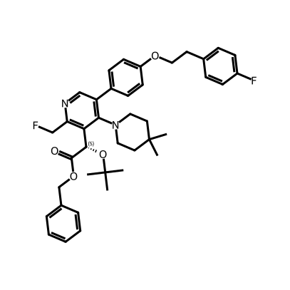 CC1(C)CCN(c2c(-c3ccc(OCCc4ccc(F)cc4)cc3)cnc(CF)c2[C@H](OC(C)(C)C)C(=O)OCc2ccccc2)CC1